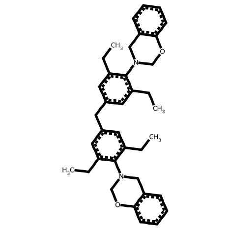 CCc1cc(Cc2cc(CC)c(N3COc4ccccc4C3)c(CC)c2)cc(CC)c1N1COc2ccccc2C1